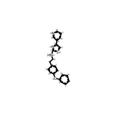 c1ccc(Oc2ccc(CCNc3nc(-c4cccnc4)cs3)cc2)cc1